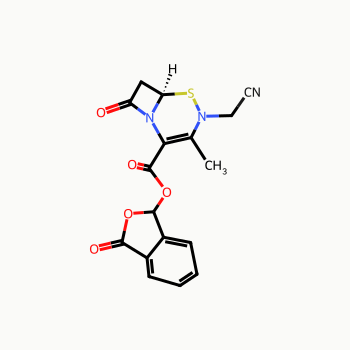 CC1=C(C(=O)OC2OC(=O)c3ccccc32)N2C(=O)C[C@H]2SN1CC#N